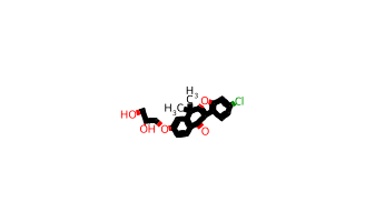 CC1(C)c2cc(OC[C@H](O)CO)ccc2C(=O)c2c1oc1cc(Cl)ccc21